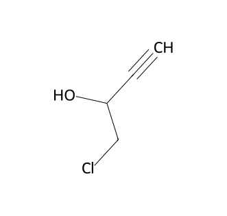 C#CC(O)CCl